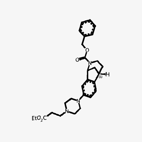 CCOC(=O)CCN1CCN(c2ccc3c(c2)C2C[C@@H]3CCN2C(=O)OCc2ccccc2)CC1